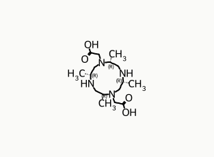 C[C@@H]1CN(CC(=O)O)[C@H](C)CN[C@H](C)CN(CC(=O)O)[C@H](C)CN1